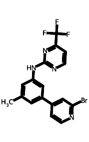 Cc1cc(Nc2nccc(C(F)(F)F)n2)cc(-c2ccnc(Br)c2)c1